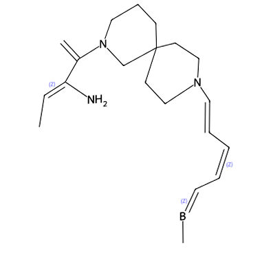 C=C(/C(N)=C/C)N1CCCC2(CCN(C=C/C=C\C=B/C)CC2)C1